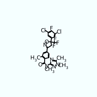 Cc1cc(C2=NOC(c3cc(Cl)c(F)c(Cl)c3)(C(F)(F)F)C2)ccc1C(=O)N(C)c1nc(C)n(C)n1